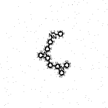 c1ccc(-c2ccnc(-c3ccc(-c4ccc(-n5c6ccccc6c6cc(-c7cccc(-c8ccc9c(c8)c8ccccc8n9-c8ccccc8)c7)ccc65)cc4)cc3)n2)cc1